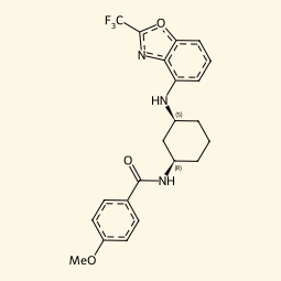 COc1ccc(C(=O)N[C@@H]2CCC[C@H](Nc3cccc4oc(C(F)(F)F)nc34)C2)cc1